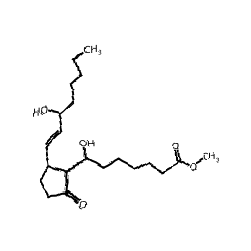 CCCCCC(O)C=CC1CCC(=O)C1C(O)CCCCCC(=O)OC